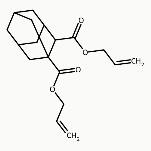 C=CCOC(=O)C1C2CC3CC(C2)CC1(C(=O)OCC=C)C3